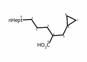 CCCCCCCCCCC(CC1CC1)C(=O)O